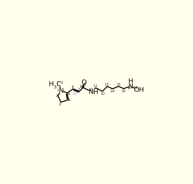 CN1CCC=C1/C=C/C(=O)NCCCCCCNO